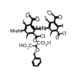 CNc1c(I)c(C(=O)Cl)c(I)c(C(=O)Cl)c1I.CNc1c(I)c(C(=O)Cl)c(I)c(C(=O)Cl)c1I.O=C(O)C(OCc1ccccc1)C(=O)O